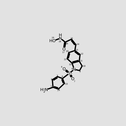 Nc1ccc(S(=O)(=O)N2CCc3cc(/C=C\C(=O)NO)ccc32)cc1